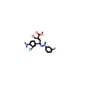 COC(=O)/C(C=O)=C/C(=N\N(C)c1cccc(F)c1)c1ccc(N(C)C)c(Cl)c1